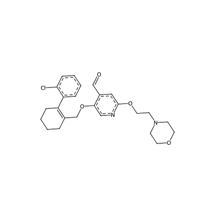 O=Cc1cc(OCCN2CCOCC2)ncc1OCC1=C(c2ccccc2Cl)CCCC1